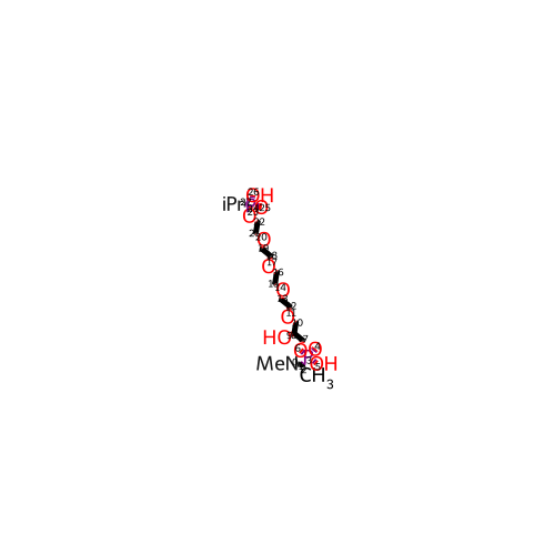 CNC(C)P(=O)(O)OCC(O)COCCOCCOCCOCCOP(=O)(O)C(C)C